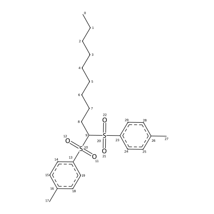 CCCCCCCCCC(S(=O)(=O)c1ccc(C)cc1)S(=O)(=O)c1ccc(C)cc1